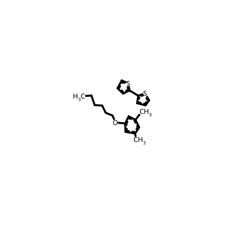 CCCCCCOc1cc(C)cc(C)c1.c1csc(-c2cccs2)c1